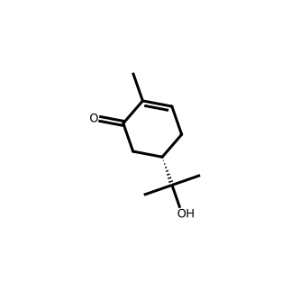 CC1=CC[C@H](C(C)(C)O)CC1=O